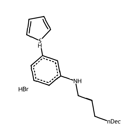 Br.CCCCCCCCCCCCCNc1cccc([SH]2C=CC=C2)c1